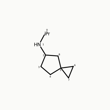 CC(C)NC1CCC2(CC2)C1